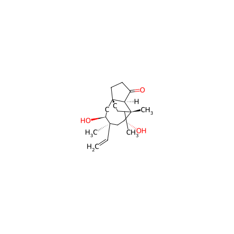 C=C[C@]1(C)C[C@@H](O)[C@]2(C)C(C)CC[C@]3(CCC(=O)[C@H]32)C[C@@H]1O